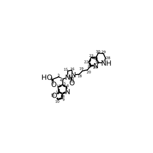 O=C(O)C[C@H](c1cnc2ccoc2c1)N1CCN(CCCc2ccc3c(n2)NCCC3)C1=O